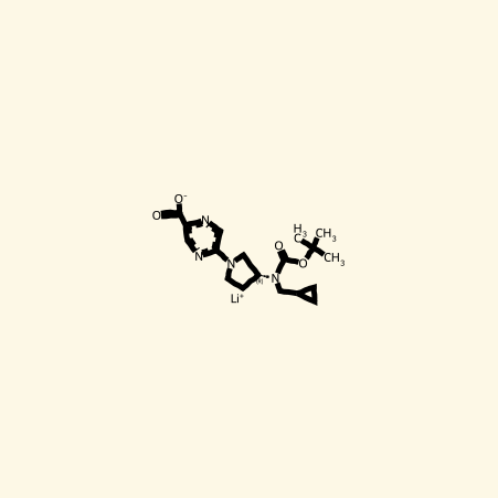 CC(C)(C)OC(=O)N(CC1CC1)[C@@H]1CCN(c2cnc(C(=O)[O-])cn2)C1.[Li+]